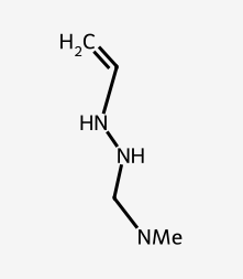 C=CNNCNC